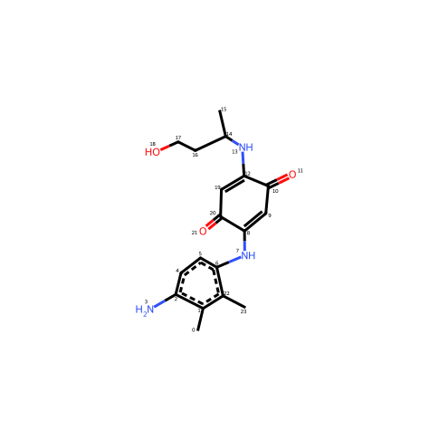 Cc1c(N)ccc(NC2=CC(=O)C(NC(C)CCO)=CC2=O)c1C